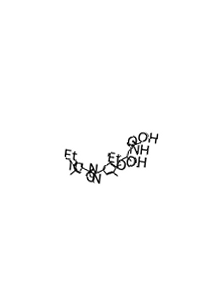 CCc1cc(-c2nc(-c3cc(C)c(OCC(O)CNC(=O)CO)c(CC)c3)no2)cc(C)n1